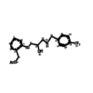 CC(=O)OCc1ccccc1OCC(O)CNCc1c#cc(C(F)(F)F)cc1